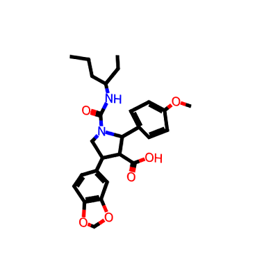 CCCC(CC)NC(=O)N1CC(c2ccc3c(c2)OCO3)C(C(=O)O)C1c1ccc(OC)cc1